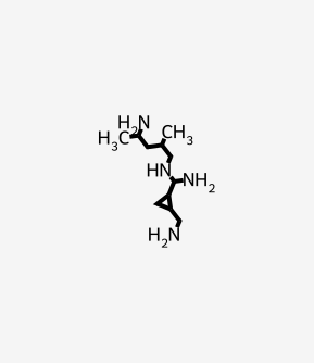 CC(N)CC(C)CNC(N)C1CC1CN